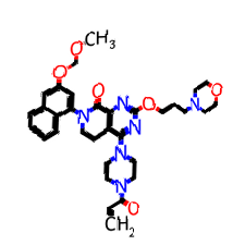 C=CC(=O)N1CCN(c2nc(OCCCN3CCOCC3)nc3c2CCN(c2cc(OCOC)cc4ccccc24)C3=O)CC1